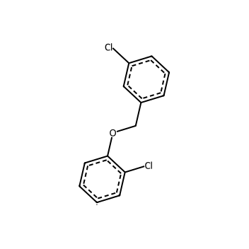 Clc1cccc(COc2cc[c]cc2Cl)c1